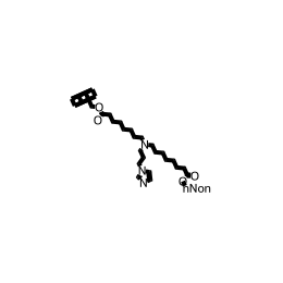 CCCCCCCCCOC(=O)CCCCCCCN(CCCCCCCC(=O)OCC12C3C4C5C3C1C5C42)CCCn1ccnc1